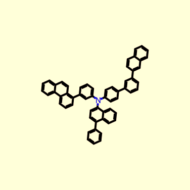 c1ccc(-c2ccc(N(c3ccc(-c4cccc(-c5ccc6ccccc6c5)c4)cc3)c3cccc(-c4cccc5c4ccc4ccccc45)c3)c3ccccc23)cc1